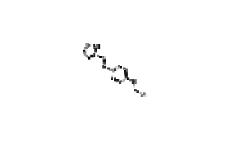 FC(F)(F)CNc1ccc(N=Nc2ccn[nH]2)cc1